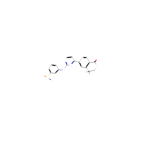 CC1(C)CNC(=O)c2ccc(-c3ccnc(Nc4cccc(S(C)(=N)=O)c4)n3)cc21